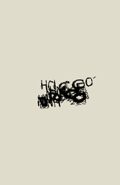 Cl.O=C([O-])N[N+]1(c2ccc3c(c2)C=NC3Nc2ccncc2)Cc2ccccc2C(F)C1